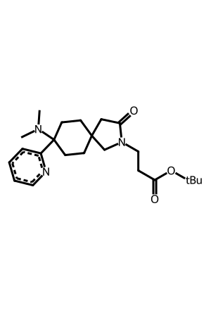 CN(C)C1(c2ccccn2)CCC2(CC1)CC(=O)N(CCC(=O)OC(C)(C)C)C2